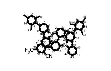 Cc1cc(C)c(-c2ccc3c(c2)c2ccccc2n3-c2ccc(C#N)cc2-c2cc(-c3ccc(C(F)(F)F)cc3C#N)ccc2-n2c3ccccc3c3cc(-c4c(C)cc(C)cc4C)ccc32)c(C)c1